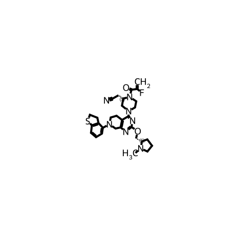 C=C(F)C(=O)N1CCN(c2nc(OC[C@@H]3CCCN3C)nc3c2CCN(c2cccc4c2CCS4)C3)C[C@@H]1CC#N